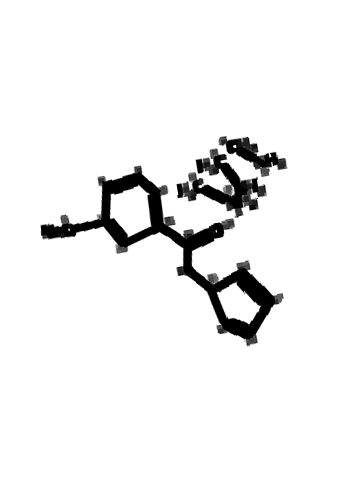 CN.CN.CN.COc1cccc(C(=O)CC2C=CC=C2)c1